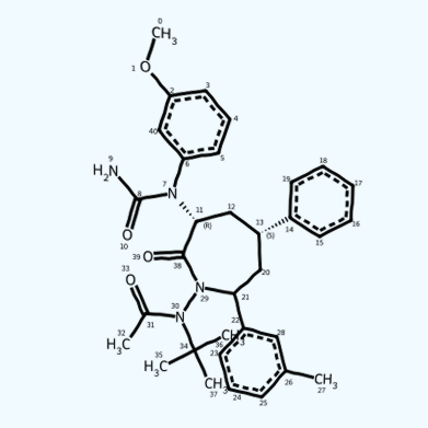 COc1cccc(N(C(N)=O)[C@@H]2C[C@H](c3ccccc3)CC(c3cccc(C)c3)N(N(C(C)=O)C(C)(C)C)C2=O)c1